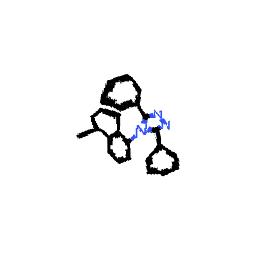 CC1CC=Cc2c1cccc2-n1c(-c2ccccc2)nnc1-c1ccccc1